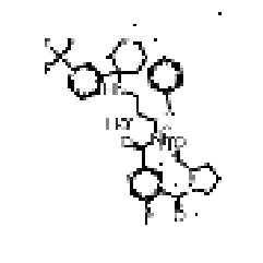 COC[C@H]1CCCN1C(=O)c1cc(C(=O)N[C@@H](Cc2ccccc2)[C@H](O)CNC2(c3cccc(C(F)(F)F)c3)CCCCC2)ccc1F